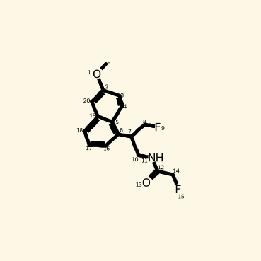 COc1ccc2c(C(CF)CNC(=O)CF)cccc2c1